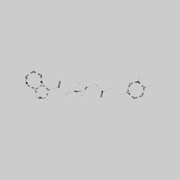 Cn1nc(C(=O)NC23CC(NC(=O)COc4ccc(Cl)c(F)c4)(C2)C3)c2ccccc21